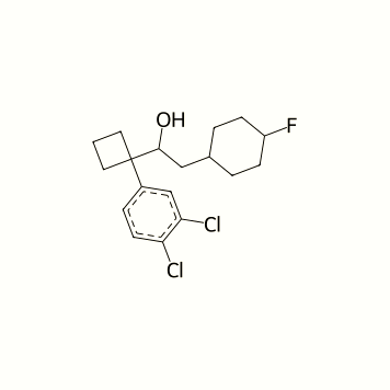 OC(CC1CCC(F)CC1)C1(c2ccc(Cl)c(Cl)c2)CCC1